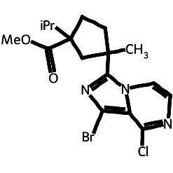 COC(=O)C1(C(C)C)CCC(C)(c2nc(Br)c3c(Cl)nccn23)C1